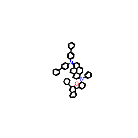 c1ccc(-c2ccc(N(c3ccc(-c4ccccc4)cc3)c3ccc4ccc5c(N(c6ccccc6)c6cccc7c6oc6c(C8CCCCC8)cc8ccccc8c67)ccc6ccc3c4c65)cc2)cc1